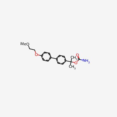 COCCOc1ccc(-c2ccc(C(C)(C)OC(N)=O)cc2)cc1